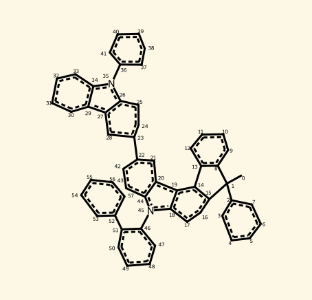 CC1(c2ccccc2)c2ccccc2-c2c1ccc1c2c2cc(-c3ccc4c(c3)c3ccccc3n4-c3ccccc3)ccc2n1-c1ccccc1-c1ccccc1